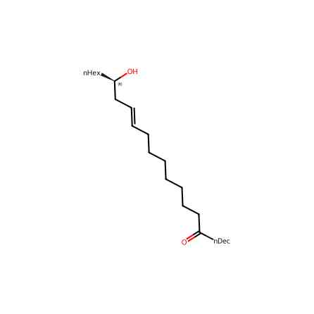 CCCCCCCCCCC(=O)CCCCCCCC=CC[C@H](O)CCCCCC